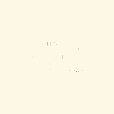 COP(N)(=O)SC(C)=O